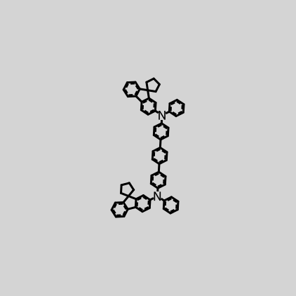 c1ccc(N(c2ccc(-c3ccc(-c4ccc(N(c5ccccc5)c5ccc6c(c5)C5(CCCC5)c5ccccc5-6)cc4)cc3)cc2)c2ccc3c(c2)C2(CCCC2)c2ccccc2-3)cc1